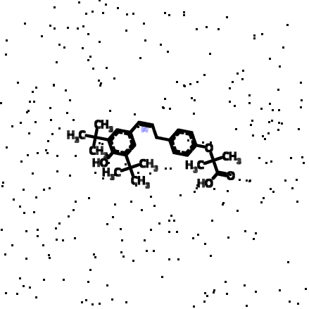 CC(C)(Oc1ccc(C/C=C\c2cc(C(C)(C)C)c(O)c(C(C)(C)C)c2)cc1)C(=O)O